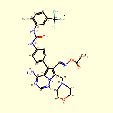 CC(=O)ON=Cc1c(-c2ccc(NC(=O)Nc3cc(C(F)(F)F)ccc3F)cc2)c2c(N)ncnn2c1CN1CCOCC1